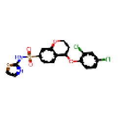 O=S(=O)(Nc1nccs1)c1ccc2c(c1)OCCC2Oc1ccc(Cl)cc1Cl